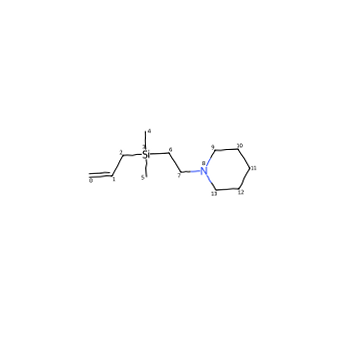 C=CC[Si](C)(C)CCN1CCCCC1